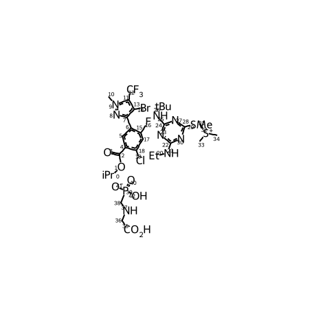 CC(C)OC(=O)c1cc(-c2nn(C)c(C(F)(F)F)c2Br)c(F)cc1Cl.CCNc1nc(NC(C)(C)C)nc(SC)n1.C[S+](C)C.O=C(O)CNCP(=O)([O-])O